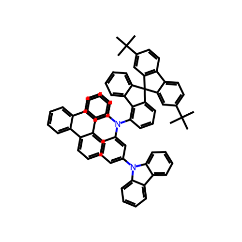 CC(C)(C)c1ccc2c(c1)C1(c3cc(C(C)(C)C)ccc3-2)c2ccccc2-c2c(N(c3cccc(-n4c5ccccc5c5ccccc54)c3)c3ccccc3-c3ccccc3-c3ccccc3-c3ccccc3)cccc21